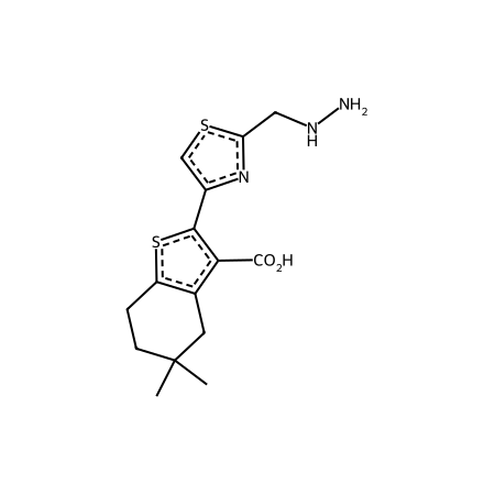 CC1(C)CCc2sc(-c3csc(CNN)n3)c(C(=O)O)c2C1